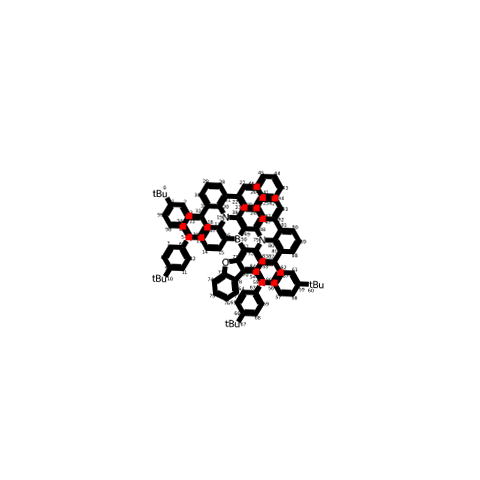 CC(C)(C)c1ccc(N(c2ccc(C(C)(C)C)cc2)c2ccc3c(c2)N(c2c(-c4ccccc4)cccc2-c2ccccc2)c2cc(-c4ccccc4)cc4c2B3c2c(cc(N(c3ccc(C(C)(C)C)cc3)c3ccc(C(C)(C)C)cc3)c3c2oc2ccccc23)N4c2c(-c3ccccc3)cccc2-c2ccccc2)cc1